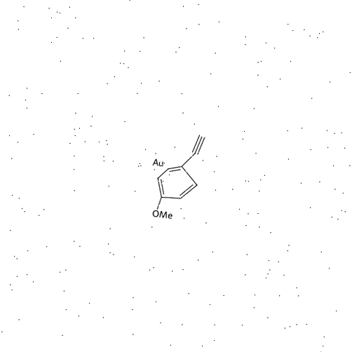 C#Cc1ccc(OC)cc1.[Au]